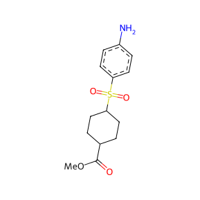 COC(=O)C1CCC(S(=O)(=O)c2ccc(N)cc2)CC1